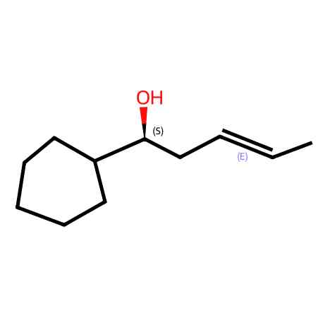 C/C=C/C[C@H](O)C1CCCCC1